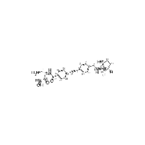 C[C@@H]1[C@@H](NCc2ccc(C#Cc3ccc(C(=O)N[C@@H](CN)C(=O)NO)cc3)cc2)[C@H]2CC[C@@H]1C2(C)C